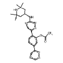 CC1(C)CC(Nc2ncc(-c3ccc(-c4cncnn4)cc3OC(=O)C(F)(F)F)nn2)CC(C)(C)N1